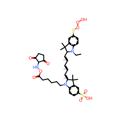 CCN1c2ccc(SOOO)cc2C(C)(C)C1/C=C/C=C/C=C1/N(CCCCCC(=O)ONC2C(=O)CCC2=O)c2ccc(S(=O)(=O)O)cc2C1(C)C